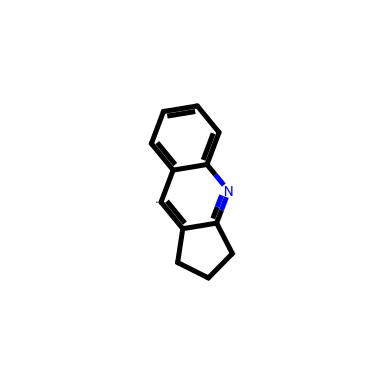 [c]1c2c(nc3ccccc13)CCC2